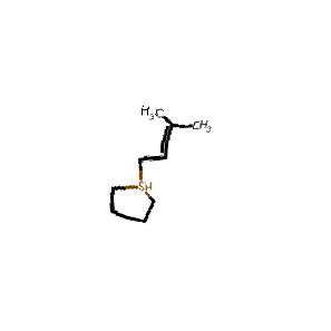 CC(C)=CC[SH]1CCCC1